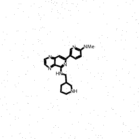 CNc1ccc(-c2cc3nccnc3c(NCC3CCCNC3)n2)cn1